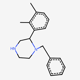 Cc1cccc(C2CNCCN2Cc2ccccc2)c1C